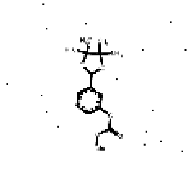 CC(C)(C)OC(=O)Oc1cccc(C2OC(C)(C)C(C)(C)O2)c1